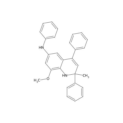 COc1cc(Nc2ccccc2)cc2c1NC(C)(c1ccccc1)C=C2c1ccccc1